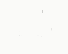 C=C(CC(=O)c1c(F)c(Cl)c(F)c(F)c1NC)OCC